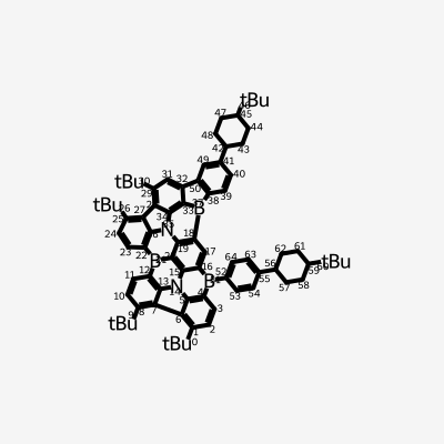 CC(C)(C)c1ccc2c3c1c1c(C(C)(C)C)ccc4c1n3-c1c(cc3c5c1B4c1ccc(C(C)(C)C)c4c6c(C(C)(C)C)cc7c(c6n-5c14)B3c1ccc(C3CCC(C(C)(C)C)CC3)cc1-7)B2c1ccc(C2CCC(C(C)(C)C)CC2)cc1